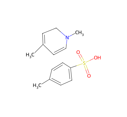 CC1=CCN(C)C=C1.Cc1ccc(S(=O)(=O)O)cc1